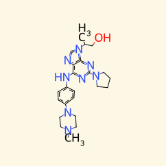 CC(CO)n1cnc2c(Nc3ccc(N4CCN(C)CC4)cc3)nc(N3CCCC3)nc21